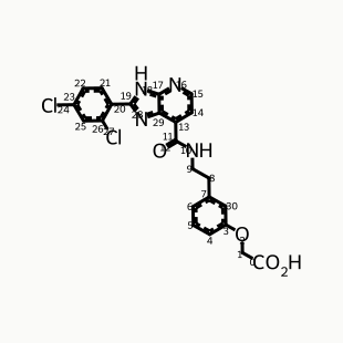 O=C(O)COc1cccc(CCNC(=O)c2ccnc3[nH]c(-c4ccc(Cl)cc4Cl)nc23)c1